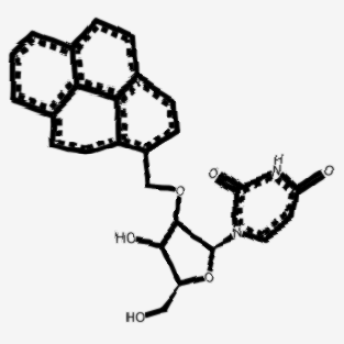 O=c1ccn([C@H]2O[C@@H](CO)C(O)C2OCc2ccc3ccc4cccc5ccc2c3c45)c(=O)[nH]1